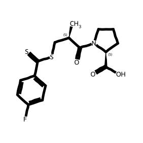 C[C@H](CSC(=S)c1ccc(F)cc1)C(=O)N1CCC[C@H]1C(=O)O